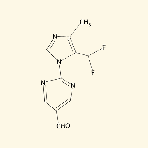 Cc1ncn(-c2ncc(C=O)cn2)c1C(F)F